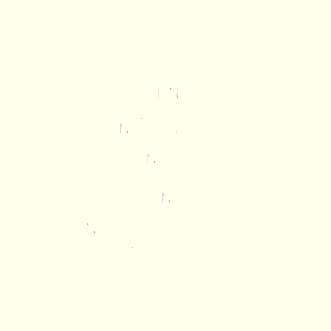 N#CC1(c2cnc3nc(N4CCC[C@@H]4C(=O)NCc4ccccc4)sc3c2)CCOCC1